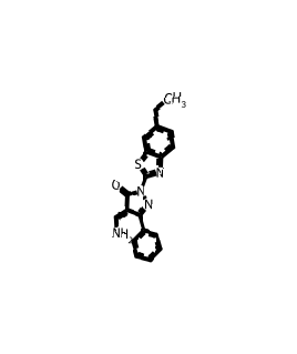 CCc1ccc2nc(N3N=C(c4ccccc4)/C(=C\N)C3=O)sc2c1